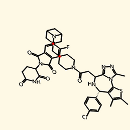 Cc1sc2c(c1C)[C@H](c1ccc(Cl)cc1)NC(CC(=O)N1CCC(CN3CC4CC(C3)N4c3cc4c(cc3F)C(=O)N(C3CCC(=O)NC3=O)C4=O)CC1)c1nnc(C)n1-2